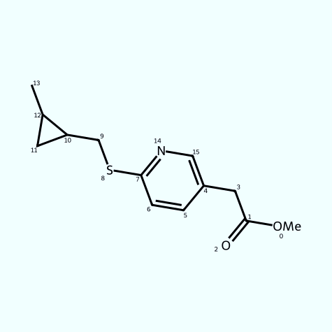 COC(=O)Cc1ccc(SCC2CC2C)nc1